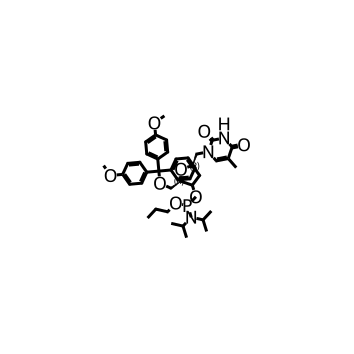 CCCOP(OC1C[C@H](Cn2cc(C)c(=O)[nH]c2=O)O[C@@H]1COC(c1ccccc1)(c1ccc(OC)cc1)c1ccc(OC)cc1)N(C(C)C)C(C)C